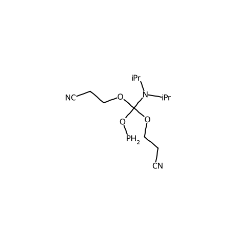 CC(C)N(C(C)C)C(OP)(OCCC#N)OCCC#N